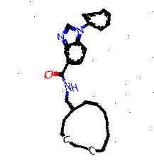 O=C(NCC1CCCCCCCCCCC1)c1ccc2c(c1)ncn2-c1ccccc1